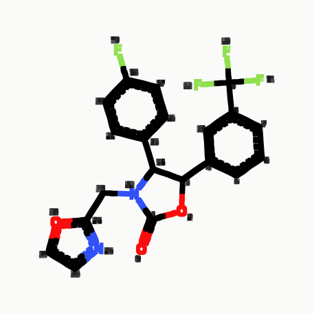 O=C1OC(c2cccc(C(F)(F)F)c2)C(c2ccc(F)cc2)N1Cc1ncco1